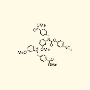 COC(=O)c1ccc(CN(C(=O)Oc2ccc([N+](=O)[O-])cc2)c2cccc(OC)c2)cc1.COC(=O)c1ccc(CNc2cccc(OC)c2)cc1